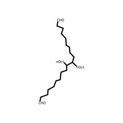 CCCCCCCCC(CCCCCCCCC=O)C(CCCCCCCC)CCCCCCCCC=O